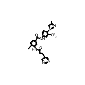 Cc1cn(-c2ccc(NC(=O)c3ccc(C)c(NC(=O)/C=C/c4cncnc4)c3)cc2C(F)(F)F)cn1